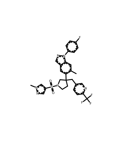 Cc1cc2c(cnn2-c2ccc(F)cc2)cc1C1(Cc2ccc(C(F)(F)F)nc2)CCN(S(=O)(=O)c2cnn(C)c2)C1